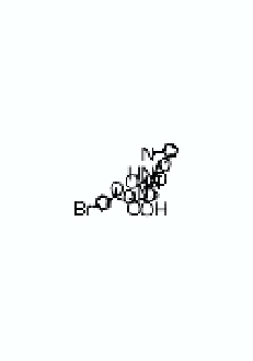 N#Cc1ccccc1OCC(=O)NC1C(=O)N2C(C(=O)OCC(=O)c3ccc(Br)cc3)=C(O)CS[C@@H]12